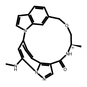 CNC1=CC2=C=Cc3c(cnn31)C(=O)N[C@H](C)COCc1ccc3ccn2c3c1